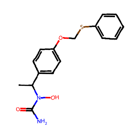 CC(c1ccc(OCSc2ccccc2)cc1)N(O)C(N)=O